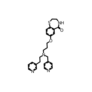 O=C1NCCSc2ccc(OCCCN(CCc3cccnc3)Cc3ccncc3)cc21